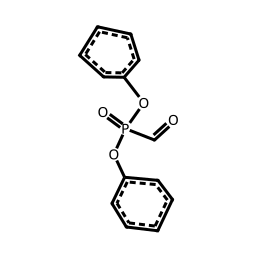 O=CP(=O)(Oc1ccccc1)Oc1ccccc1